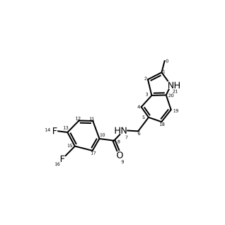 Cc1cc2cc(CNC(=O)c3ccc(F)c(F)c3)ccc2[nH]1